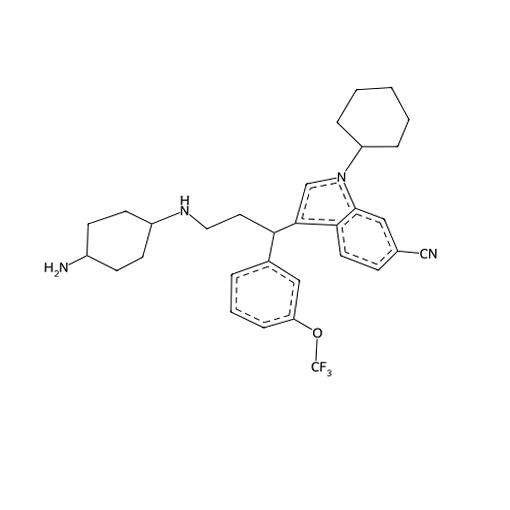 N#Cc1ccc2c(C(CCNC3CCC(N)CC3)c3cccc(OC(F)(F)F)c3)cn(C3CCCCC3)c2c1